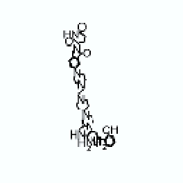 NC1=C(/C=C(\N)c2ccccc2O)N2CCN(C3CCN(CCN4CCN(c5ccc6c(c5)C(=O)N(C5CCC(=O)NC5=O)C6)CC4)CC3)CC2CN1